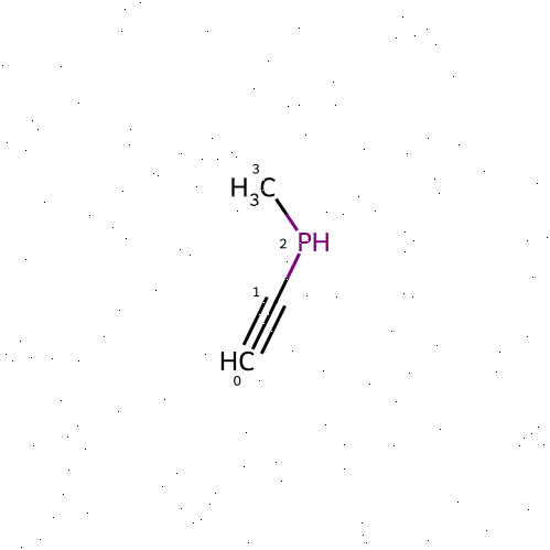 C#CPC